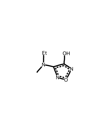 CCN(C)c1nonc1O